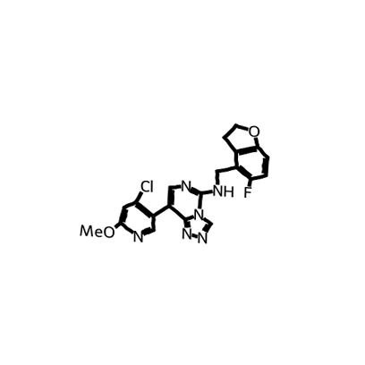 COc1cc(Cl)c(-c2cnc(NCc3c(F)ccc4c3CCO4)n3cnnc23)cn1